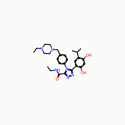 CCNC(=O)c1nnc(-c2cc(C(C)C)c(O)cc2O)n1-c1ccc(CN2CCN(CC)CC2)cc1